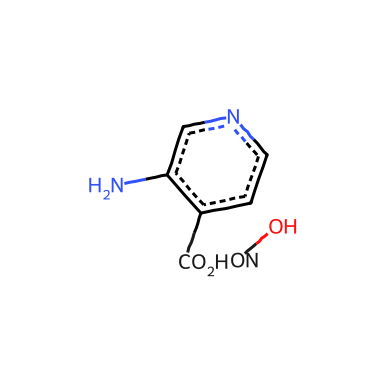 Nc1cnccc1C(=O)O.O=NO